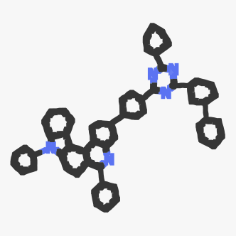 c1ccc(-c2cccc(-c3nc(-c4ccccc4)nc(-c4ccc(-c5ccc6c(c5)nc(-c5ccccc5)c5ccc7c(c8ccccc8n7-c7ccccc7)c56)cc4)n3)c2)cc1